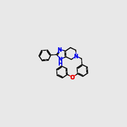 c1ccc(Oc2cccc(CN3CCc4nc(-c5ccccc5)[nH]c4C3)c2)cc1